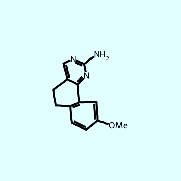 COc1ccc2c(c1)-c1nc(N)ncc1CC2